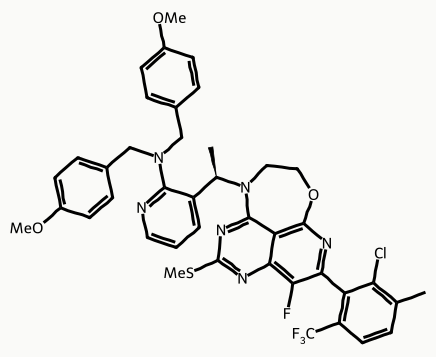 COc1ccc(CN(Cc2ccc(OC)cc2)c2ncccc2[C@@H](C)N2CCOc3nc(-c4c(C(F)(F)F)ccc(C)c4Cl)c(F)c4nc(SC)nc2c34)cc1